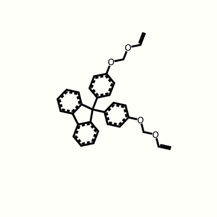 C=COCOc1ccc(C2(c3ccc(OCOC=C)cc3)c3ccccc3-c3ccccc32)cc1